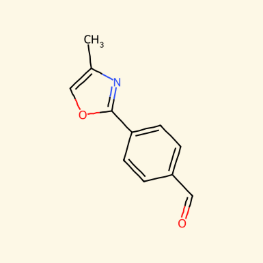 Cc1coc(-c2ccc(C=O)cc2)n1